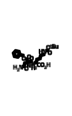 CC(C)(C)OC(=O)NCCCC[C@H](NC(=O)[C@@](N)(CC(N)=O)C(=O)OCc1ccccc1)C(=O)O